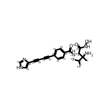 CC(N)(C(F)F)[C@H](NC(=O)c1ccc(C#CC#Cc2c[nH]cn2)cc1)C(=O)NO